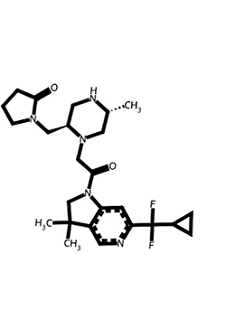 C[C@@H]1CN(CC(=O)N2CC(C)(C)c3cnc(C(F)(F)C4CC4)cc32)[C@@H](CN2CCCC2=O)CN1